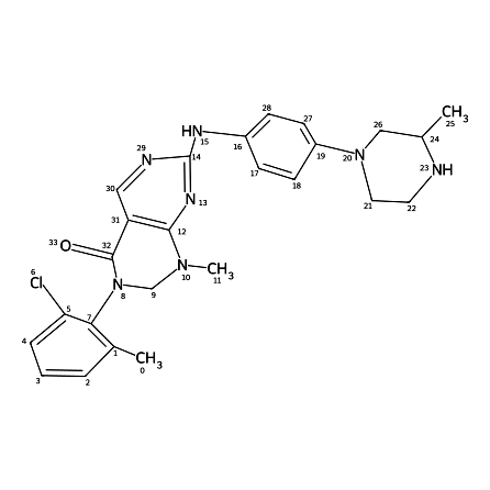 Cc1cccc(Cl)c1N1CN(C)c2nc(Nc3ccc(N4CCNC(C)C4)cc3)ncc2C1=O